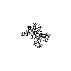 Cc1cc2c3c(c1)N(c1ccc4c(c1)C(C)(C)CCC4(C)C)c1c(sc4cc5c(cc14)C(C)(C)CCC5(C)C)B3c1cc3c(cc1N2c1cc(C(C)(C)C)cc(C(C)(C)C)c1)C(C)(C)CCC3(C)C